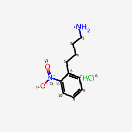 Cl.NCCCCc1ccccc1[N+](=O)[O-]